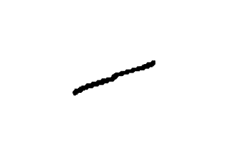 CCCCCCCCCCCCCCCC#CCCCCCCCCCCCCCCC